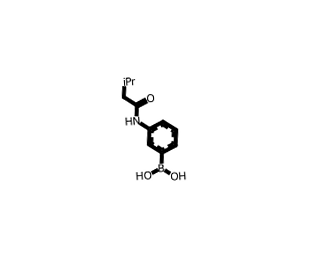 CC(C)CC(=O)Nc1cccc(B(O)O)c1